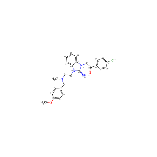 COc1ccc(CN(C)CCn2c(=N)n(CC(=O)c3ccc(Cl)cc3)c3ccccc32)cc1